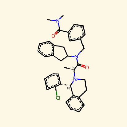 C[C@@H](C(=O)N(Cc1cccc(C(=O)N(C)C)c1)C1Cc2ccccc2C1)N1CCc2ccccc2[C@@H]1c1ccccc1Cl